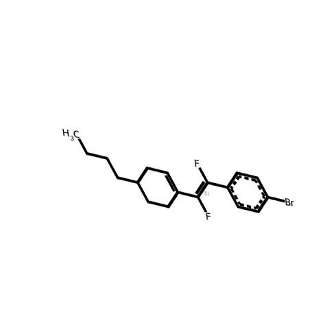 CCCCC1CC=C(/C(F)=C(\F)c2ccc(Br)cc2)CC1